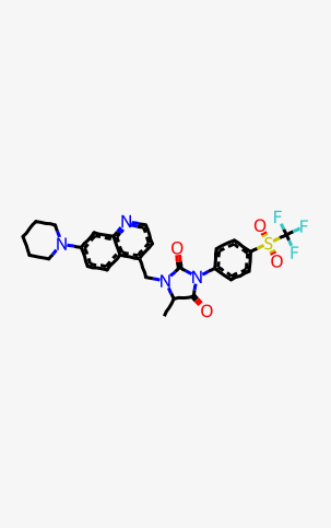 CC1C(=O)N(c2ccc(S(=O)(=O)C(F)(F)F)cc2)C(=O)N1Cc1ccnc2cc(N3CCCCC3)ccc12